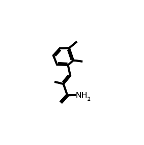 C=C(N)/C(C)=C/c1cccc(C)c1C